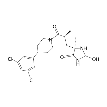 C[C@@H](C[C@@]1(C)NC(O)NC1=O)C(=O)N1CCC(c2cc(Cl)cc(Cl)c2)CC1